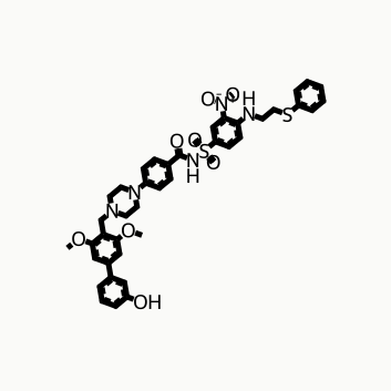 COc1cc(-c2cccc(O)c2)cc(OC)c1CN1CCN(c2ccc(C(=O)NS(=O)(=O)c3ccc(NCCSc4ccccc4)c([N+](=O)[O-])c3)cc2)CC1